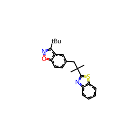 CC(C)(C)c1noc2ccc(CC(C)(C)c3nc4ccccc4s3)cc12